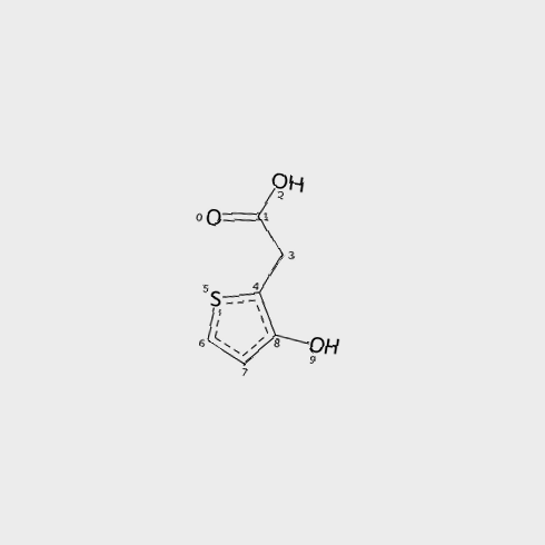 O=C(O)Cc1sccc1O